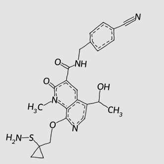 CC(O)c1cnc(OCC2(SN)CC2)c2c1cc(C(=O)NCc1ccc(C#N)cc1)c(=O)n2C